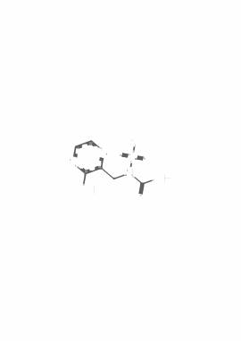 Cc1nccnc1CN(C(=O)O)S(C)(=O)=O